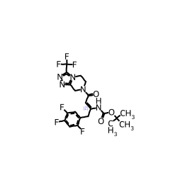 CC(C)(C)OC(=O)N/C(=C\C(=O)N1CCn2c(nnc2C(F)(F)F)C1)Cc1cc(F)c(F)cc1F